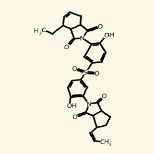 C/C=C\C1CCC2C(=O)N(c3cc(S(=O)(=O)c4ccc(O)c(N5C(=O)C6CC=CC(CC)C6C5=O)c4)ccc3O)C(=O)C12